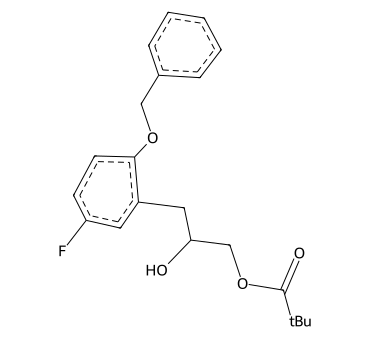 CC(C)(C)C(=O)OCC(O)Cc1cc(F)ccc1OCc1ccccc1